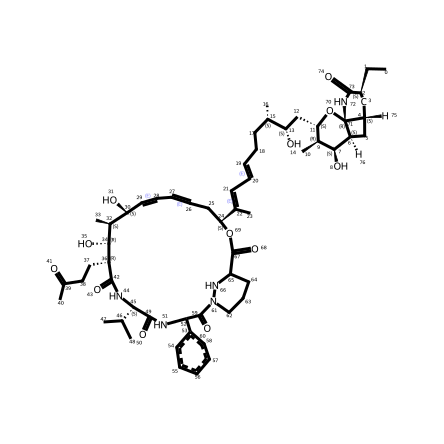 CC[C@H]1C[C@@H]2C[C@H]3[C@@H](O)[C@@H](C)[C@H](C[C@H](O)[C@@H](C)CC/C=C/C=C(\C)[C@@H]4C/C=C/C=C/[C@H](O)[C@H](C)[C@@H](O)[C@@H](CCC(C)=O)C(=O)N[C@@H](C(C)C)C(=O)NC(c5ccccc5)C(=O)N5CCCC(N5)C(=O)O4)O[C@]23NC1=O